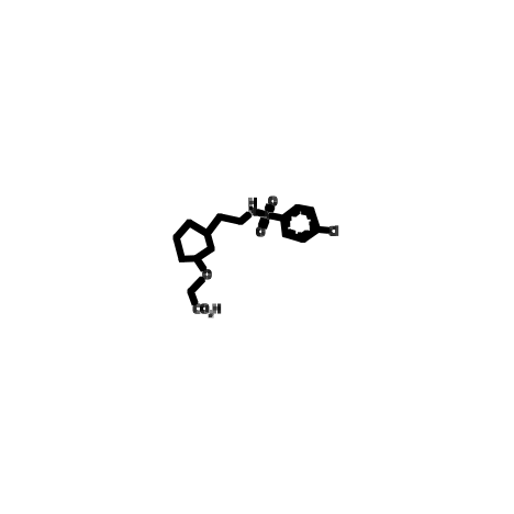 O=C(O)COC1CCCC(CCNS(=O)(=O)c2ccc(Cl)cc2)C1